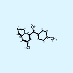 CC1CCC(C(O)c2cc(Cl)cc3cncn23)CC1